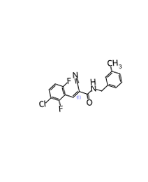 Cc1cccc(CNC(=O)/C(C#N)=C/c2c(F)ccc(Cl)c2F)c1